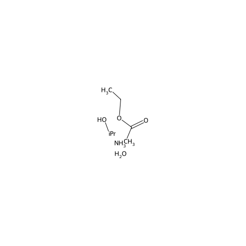 CC(C)O.CCOC(C)=O.N.O